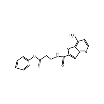 Cc1ccnc2cc(C(=O)NCCC(=O)Oc3ccccc3)sc12